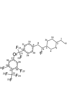 CCC1CCC(C(F)Cc2ccc(C(F)(F)Oc3cc(F)c(C(F)(F)F)c(F)c3)cc2)CC1